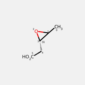 CC1O[C@H]1CC(=O)O